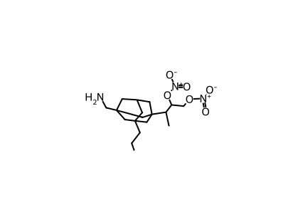 CCCC12CC3CC(CN)(C1)CC(C(C)C(CO[N+](=O)[O-])O[N+](=O)[O-])(C3)C2